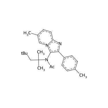 CC(=O)N(c1c(-c2ccc(C)cc2)nc2ccc(C)cn12)C(C)(C)CC(C)(C)C